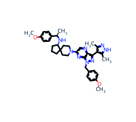 COc1ccc(Cn2nc(-c3c(C)n[nH]c3C)c3ncc(N4CCC5(CCC[C@H]5N[C@H](C)c5ccc(OC)cc5)CC4)nc32)cc1